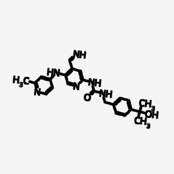 Cc1cc(Nc2cnc(NC(=O)NCc3ccc(C(C)(C)O)cc3)cc2C=N)ccn1